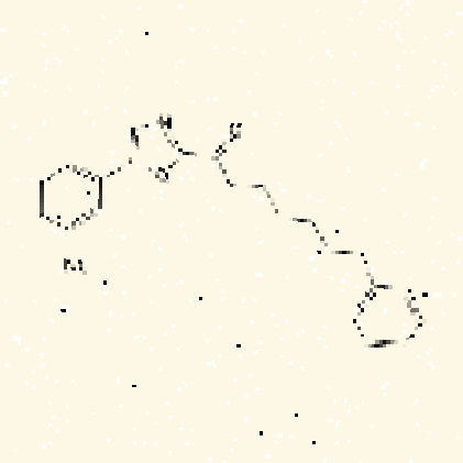 [C-]#[N+]c1cccc(-c2cnc(C(=O)CCCCCCc3ccccc3)o2)c1